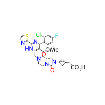 COC(=O)C1=C(CN2CCN3C(=O)N(C45CC(CC(=O)O)(C4)C5)CC3C2)NC(c2nccs2)=NC1c1ccc(F)cc1Cl